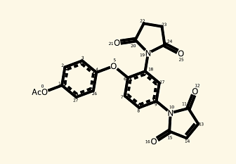 CC(=O)Oc1ccc(Oc2ccc(N3C(=O)C=CC3=O)cc2N2C(=O)CCC2=O)cc1